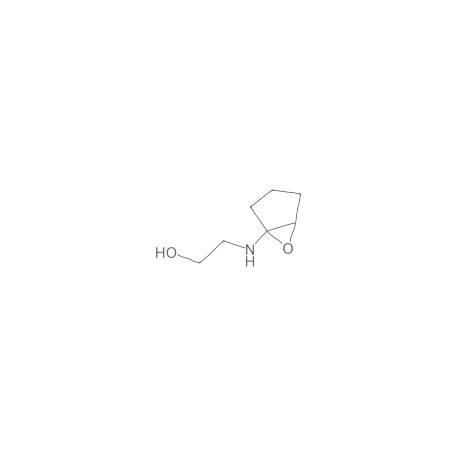 OCCNC12CCCC1O2